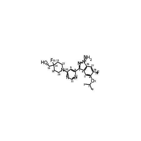 CC(C)Oc1cc2c(-c3cc(N4CCC(F)(CO)CC4)ncn3)nn(N)c2cc1F